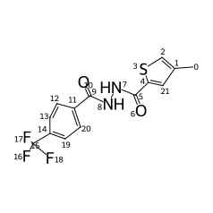 Cc1csc(C(=O)NNC(=O)c2ccc(C(F)(F)F)cc2)c1